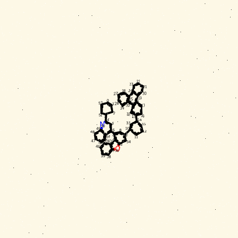 C1=CCC(c2cc(-c3cc(-c4cccc(-c5ccc6c7ccccc7c7ccccc7c6c5)c4)cc4oc5ccccc5c34)c3ccccc3n2)C=C1